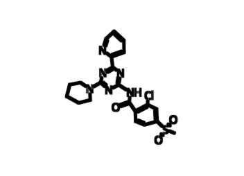 CS(=O)(=O)c1ccc(C(=O)Nc2nc(-c3ccccn3)nc(N3CCCCC3)n2)c(Cl)c1